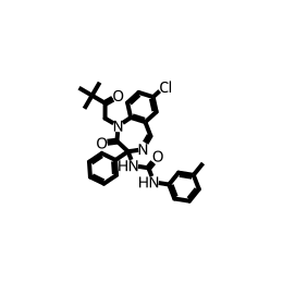 Cc1cccc(NC(=O)NC2(c3ccccc3)N=Cc3cc(Cl)ccc3N(CC(=O)C(C)(C)C)C2=O)c1